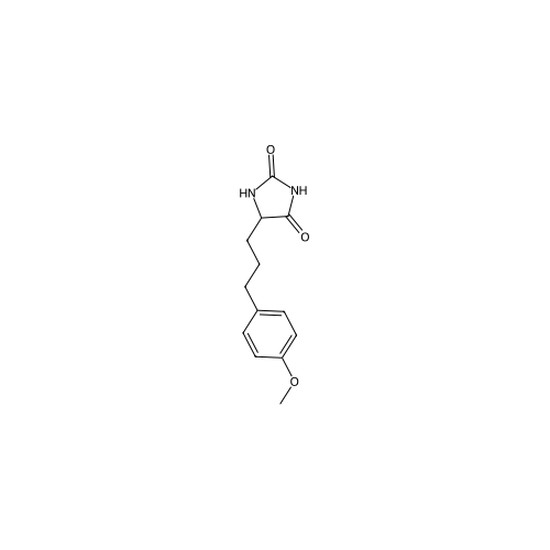 COc1ccc(CCCC2NC(=O)NC2=O)cc1